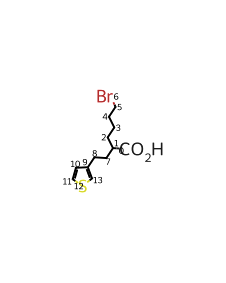 O=C(O)C(CCCCBr)CCc1ccsc1